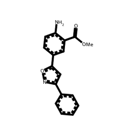 COC(=O)c1cc(-c2cc(-c3ccccc3)no2)ccc1N